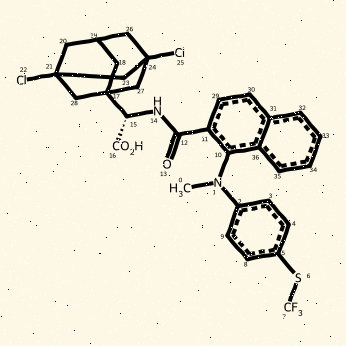 CN(c1ccc(SC(F)(F)F)cc1)c1c(C(=O)N[C@H](C(=O)O)C23CC4CC(Cl)(CC(Cl)(C4)C2)C3)ccc2ccccc12